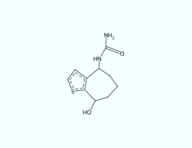 NC(=O)NC1CCCC(O)c2sccc21